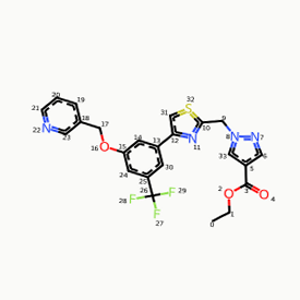 CCOC(=O)c1cnn(Cc2nc(-c3cc(OCc4cccnc4)cc(C(F)(F)F)c3)cs2)c1